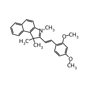 COc1ccc(/C=C/C2=[N+](C)c3ccc4ccccc4c3C2(C)C)c(OC)c1